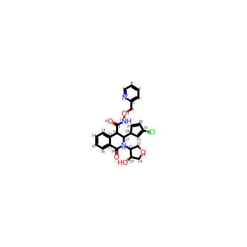 O=C(NOCc1ccccn1)C1c2ccccc2C(=O)N(C2COCC2O)C1C1C=CC(Cl)=C1